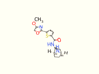 COc1coc(-c2ccc(C(=O)N[C@@H]3C[C@H]4CC[C@@H]3N4)s2)n1